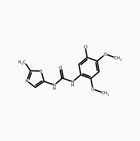 COc1cc(OC)c(NC(=O)Nc2cnc(C)s2)cc1Cl